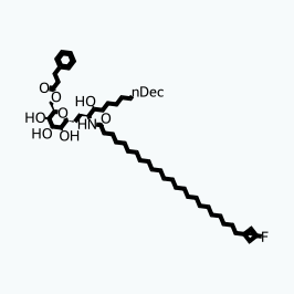 CCCCCCCCCCCCCCC[C@@H](O)[C@H](CC[C@H]1O[C@H](COC(=O)CCc2ccccc2)[C@H](O)[C@H](O)[C@H]1O)NC(=O)CCCCCCCCCCCCCCCCCCCCCCCC12CC(F)(C1)C2